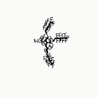 O=C(CC(C(=O)OCCC(F)(F)C(F)(F)C(F)(F)C(F)(F)F)C(C(=O)OCCC(F)(F)C(F)(F)C(F)(F)C(F)(F)F)S(=O)(=O)O)OCCC(F)(F)C(F)(F)C(F)(F)C(F)(F)F